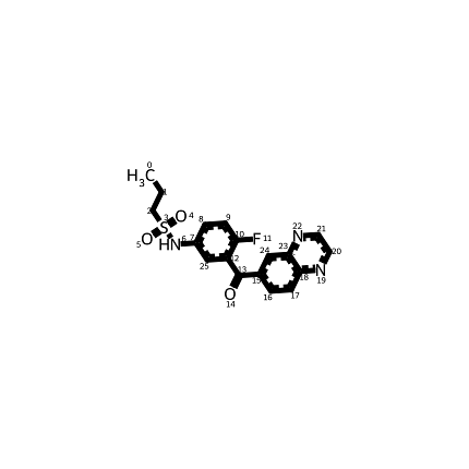 CCCS(=O)(=O)Nc1ccc(F)c(C(=O)c2ccc3nccnc3c2)c1